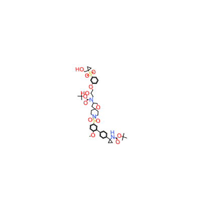 COc1ccc(S(=O)(=O)N2CCC3(CC2)C[C@@H](N(C[C@H](O)COc2cccc(S(=O)(=O)C4(CO)CC4)c2)C(=O)OC(C)(C)C)CO3)cc1-c1ccc(C2(NC(=O)OC(C)(C)C)CC2)cc1